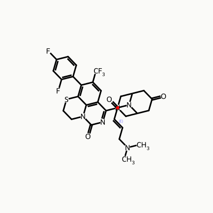 CN(C)C/C=C/C(=O)N1C2CC(=O)CC1CN(c1nc(=O)n3c4c(c(-c5ccc(F)cc5F)c(C(F)(F)F)cc14)SCC3)C2